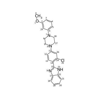 COc1cccc(N2CCN(c3ccc(-c4nc5ccccc5[nH]4)c(Cl)c3)CC2)c1